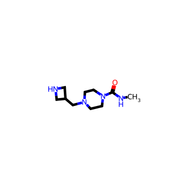 CNC(=O)N1CCN(CC2CNC2)CC1